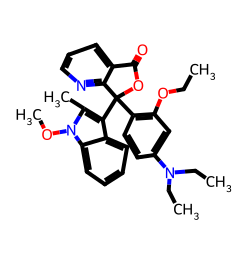 CCOc1cc(N(CC)CC)ccc1C1(c2c(C)n(OC)c3ccccc23)OC(=O)c2cccnc21